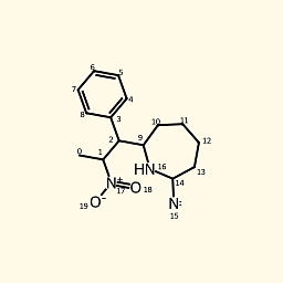 CC(C(c1ccccc1)C1CCCCC([N])N1)[N+](=O)[O-]